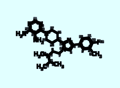 Cc1cc(-c2cn(CCN(C)C(C)C)c(C3CCN(c4ncnc(N)c4N)CC3)n2)ccc1F